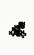 CC(C)(C)C(C#N)CNC(=O)O